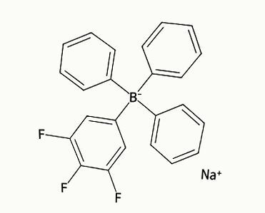 Fc1cc([B-](c2ccccc2)(c2ccccc2)c2ccccc2)cc(F)c1F.[Na+]